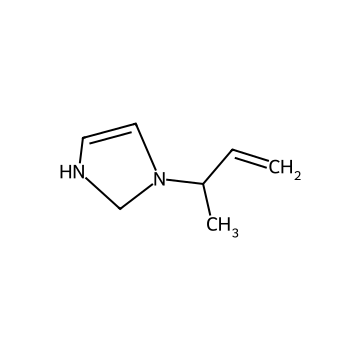 C=CC(C)N1C=CNC1